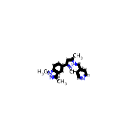 CC1=CC(c2ccc3c(c2)c(C)nn3C)N(C)N1Cc1ccncc1